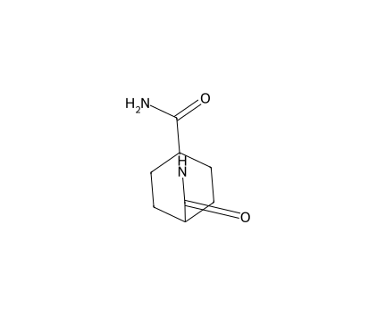 NC(=O)C12CCC(CC1)C(=O)N2